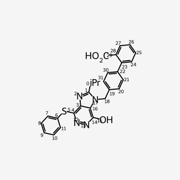 CC(C)c1nc2c(Sc3ccccc3)nnc(O)c2n1Cc1ccc(-c2ccccc2C(=O)O)cc1